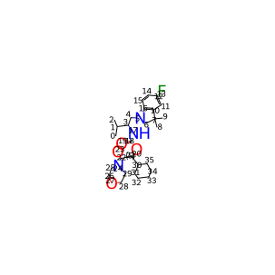 CC(C)C(CN1CC(C)(C)c2cc(F)ccc21)NC(=O)O[C@H](C(=O)N1CCOCC1)C1CCCCC1